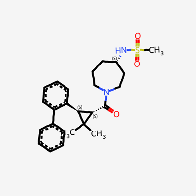 CC1(C)[C@@H](C(=O)N2CCC[C@H](NS(C)(=O)=O)CC2)[C@@H]1c1ccccc1-c1ccccc1